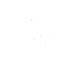 COC(=O)CCCC(Br)C(Br)C(=O)OC